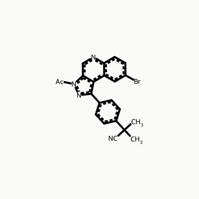 CC(=O)n1nc(-c2ccc(C(C)(C)C#N)cc2)c2c3cc(Br)ccc3ncc21